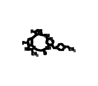 CCN1CCN(Cc2cnc3cc2NC(=O)CCN2c4cc(cc(F)c4NC2C)-c2nc(ncc2F)N3)CC1